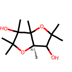 CC1(C)OC2(C)C(C)(O)C(C)(C)O[C@]2(C)C1O